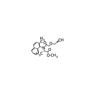 C#CCOCC(=O)N(c1c(C)ccc2ccccc12)[C@@H](C)C(=O)OC